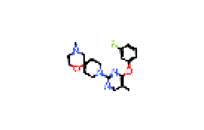 Cc1cnc(N2CCC3(CC2)CN(C)CCO3)nc1Oc1cccc(F)c1